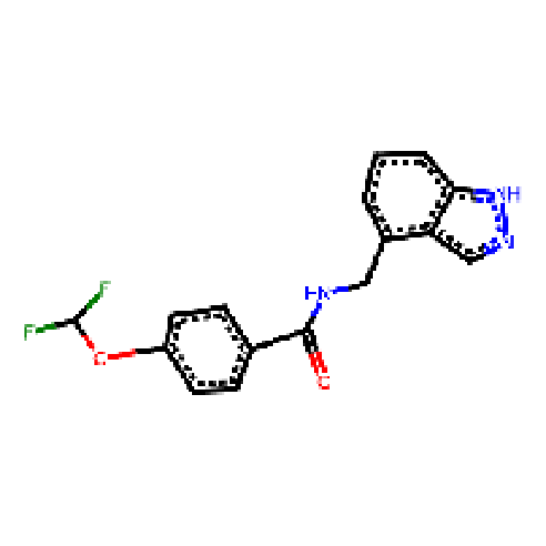 O=C(NCc1cccc2[nH]ncc12)c1ccc(OC(F)F)cc1